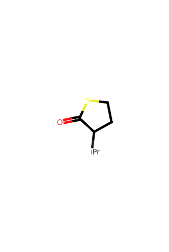 CC(C)C1CCSC1=O